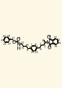 CC(CCCc1ccc(CCCCNC(=O)OCc2ccccc2)cc1)N1C(=O)c2ccccc2C1=O